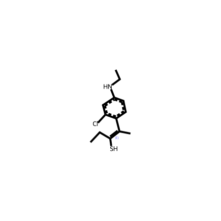 CCNc1ccc(/C(C)=C(/S)CC)c(Cl)c1